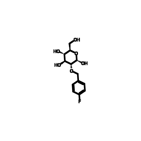 OC[C@H]1O[C@H](O)[C@H](OCc2ccc(F)cc2)[C@@H](O)[C@@H]1O